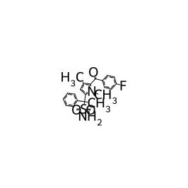 Cc1cc(C(C)(c2ccccc2)S(N)(=O)=O)n(C)c1C(=O)c1ccc(F)cc1